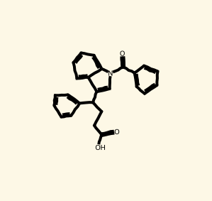 O=C(O)CCC(c1ccccc1)c1cn(C(=O)c2ccccc2)c2ccccc12